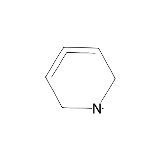 C1=CC[N]CC=1